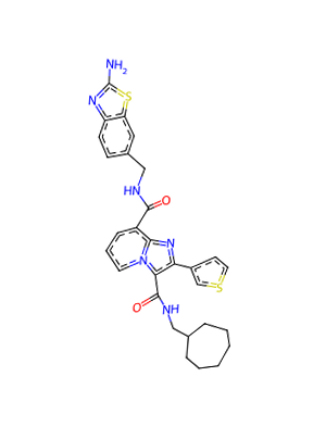 Nc1nc2ccc(CNC(=O)c3cccn4c(C(=O)NCC5CCCCCC5)c(-c5ccsc5)nc34)cc2s1